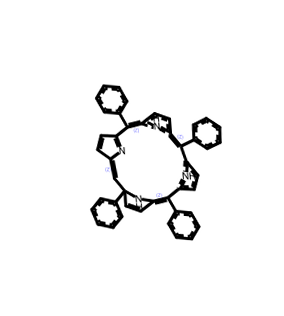 C1=C/C2=C/C3(c4ccccc4)C=C/C(=C(\c4ccccc4)c4ccc([nH]4)/C(c4ccccc4)=c4/cc/c([nH]4)=C(\c4ccccc4)C1=N2)N3